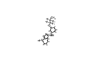 CC(F)(F)C(F)(F)Oc1cccc(Nc2noc3c(F)cccc23)c1